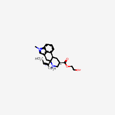 CN1C[C@H](C(=O)OCCO)CC2c3cccc4c3c(cn4C)CC21/C(=C\C(=O)O)C(=O)O